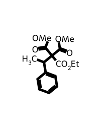 CCOC(=O)C(C(=O)OC)(C(=O)OC)C(C)c1ccccc1